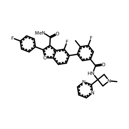 CNC(=O)c1c(-c2ccc(F)cc2)oc2ccc(-c3cc(C(=O)NC4(c5ncccn5)CN(C)C4)cc(F)c3C)c(F)c12